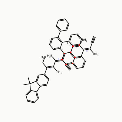 BC/C(=C(B)\C(B)=C(/C#C)N(C/C(B)=C(B)\C(=C(\B)C#C)c1ccccc1)c1cccc(-c2ccccc2)c1-c1ccccc1-c1ccccc1)c1ccc2c(c1)C(C)(C)c1ccccc1-2